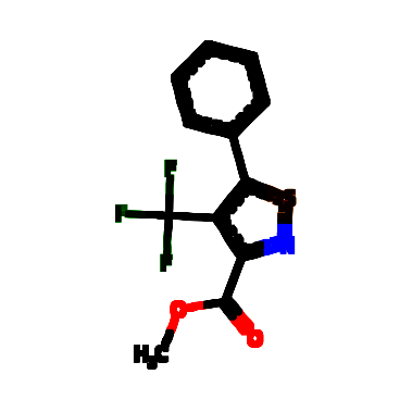 COC(=O)c1nsc(-c2ccccc2)c1C(F)(F)F